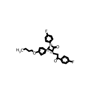 CCCCOc1ccc([C@@H]2[C@H](CCC(=O)c3ccc(F)cc3)C(=O)N2c2ccc(F)cc2)cc1